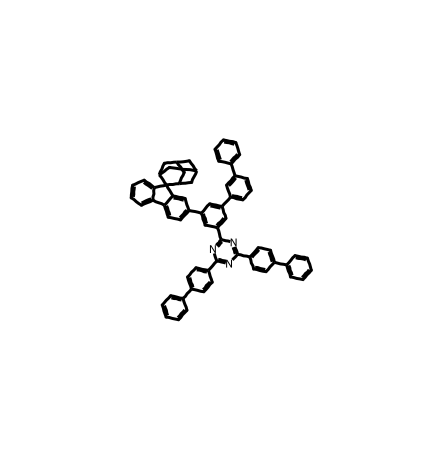 c1ccc(-c2ccc(-c3nc(-c4ccc(-c5ccccc5)cc4)nc(-c4cc(-c5cccc(-c6ccccc6)c5)cc(-c5ccc6c(c5)C5(c7ccccc7-6)C6CC7CC(C6)CC5C7)c4)n3)cc2)cc1